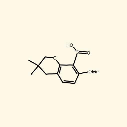 COc1ccc2c(c1S(=O)O)OCC(C)(C)C2